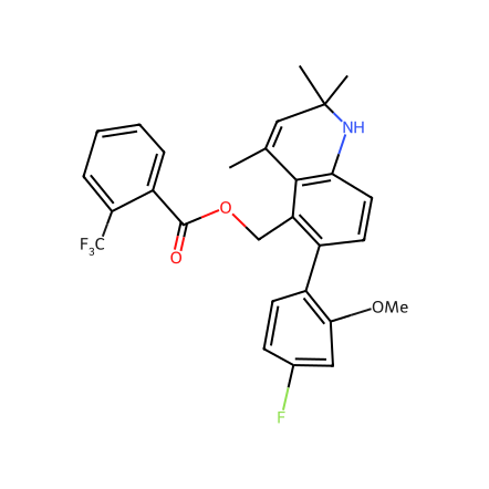 COc1cc(F)ccc1-c1ccc2c(c1COC(=O)c1ccccc1C(F)(F)F)C(C)=CC(C)(C)N2